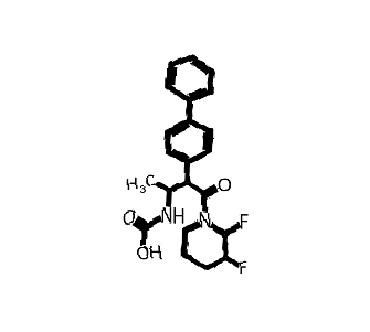 CC(NC(=O)O)C(C(=O)N1CCCC(F)C1F)c1ccc(-c2ccccc2)cc1